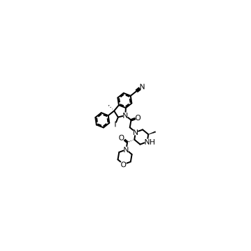 C[C@@H]1CN(CC(=O)N2c3cc(C#N)ccc3[C@](C)(c3ccccc3)C2I)[C@@H](C(=O)N2CCOCC2)CN1